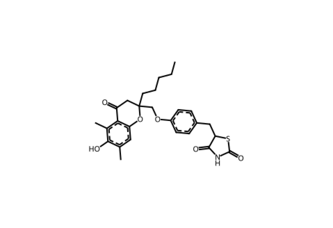 CCCCCC1(COc2ccc(CC3SC(=O)NC3=O)cc2)CC(=O)c2c(cc(C)c(O)c2C)O1